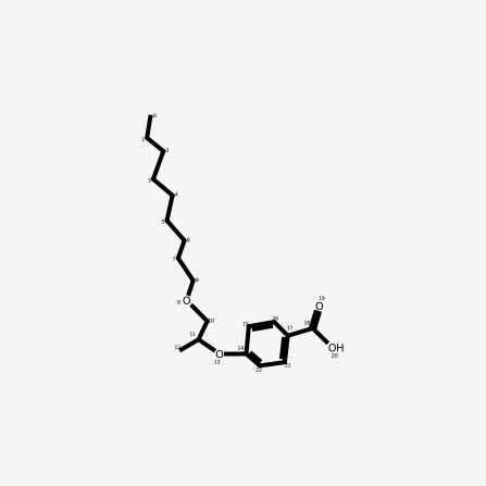 CCCCCCCCCOCC(C)Oc1ccc(C(=O)O)cc1